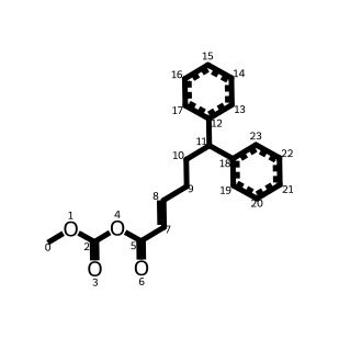 COC(=O)OC(=O)C=CCCC(c1ccccc1)c1ccccc1